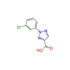 O=C(O)c1cnn(-c2cccc(Cl)c2)n1